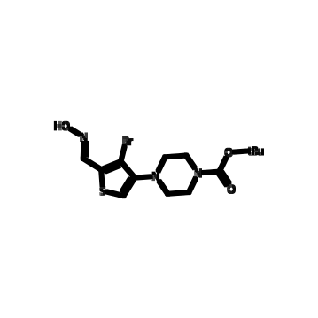 CC(C)(C)OC(=O)N1CCN(c2csc(C=NO)c2Br)CC1